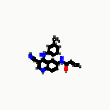 C=CC(=O)Nc1ccc2ncc(C#N)c(Nc3cccc(C)c3)c2c1